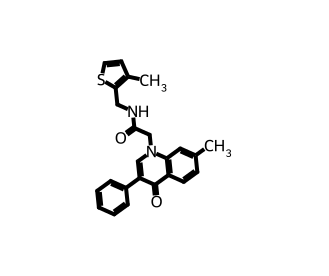 Cc1ccc2c(=O)c(-c3ccccc3)cn(CC(=O)NCc3sccc3C)c2c1